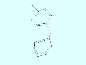 O=[N+]([O-])c1ccc(Oc2cc[c]cc2)cn1